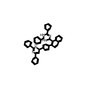 C1=C(c2ccccc2)N=C(c2ccccc2)NC1c1ccc(-c2ccc3ccccc3c2C2N=C(c3ccccc3)NC(c3ccccc3)N2)cc1